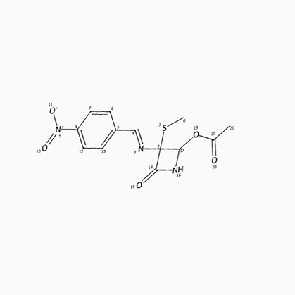 CSC1(N=Cc2ccc([N+](=O)[O-])cc2)C(=O)NC1OC(C)=O